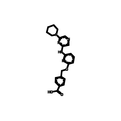 O=C(O)c1ccc(COc2cccc(Nc3cncc(N4CCCCC4)n3)n2)cc1